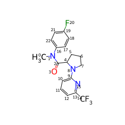 CN(C(=O)C1CCCN1c1cccc(C(F)(F)F)n1)c1ccc(F)cc1